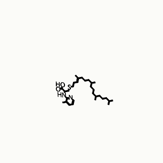 C/C(=C\CCSCC(Nc1ncccc1C)C(=O)O)CCCC(C)CCCC(C)CCCC(C)C